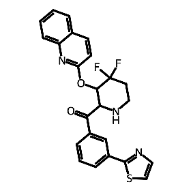 O=C(c1cccc(-c2nccs2)c1)C1NCCC(F)(F)C1Oc1ccc2ccccc2n1